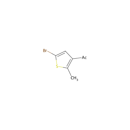 CC(=O)c1cc(Br)sc1C